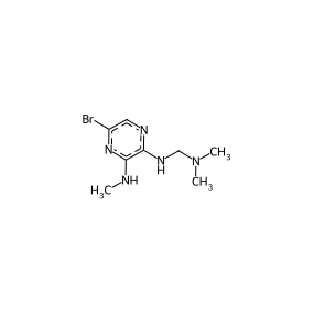 CNc1nc(Br)cnc1NCN(C)C